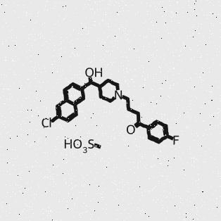 CS(=O)(=O)O.O=C(CCCN1CCC(C(O)c2ccc3cc(Cl)ccc3c2)CC1)c1ccc(F)cc1